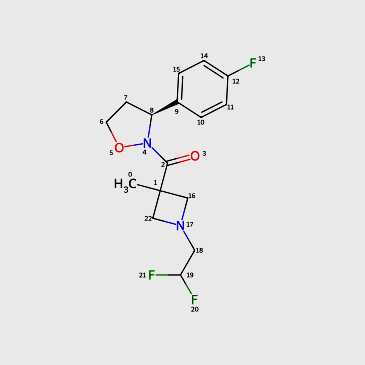 CC1(C(=O)N2OCC[C@H]2c2ccc(F)cc2)CN(CC(F)F)C1